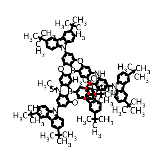 CSN1c2cc3c(cc2B2c4cc(C(C)(C)C)ccc4Oc4cc(-n5c6ccc(C(C)(C)C)cc6c6cc(C(C)(C)C)ccc65)cc1c42)B1c2cc4c(cc2Oc2cc(-n5c6ccc(C(C)(C)C)cc6c6cc(C(C)(C)C)ccc65)cc(c21)O3)Nc1cc(-n2c3ccc(C(C)(C)C)cc3c3cc(C(C)(C)C)ccc32)cc2c1B4c1cc(C(C)(C)C)cc3c4cc(C(C)(C)C)ccc4n-2c13